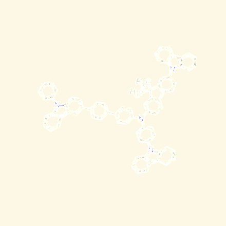 CC1(C)c2cc(N(c3ccc(-c4ccc(-c5ccc6c(c5)c5ccccc5n6-c5ccccc5)cc4)cc3)c3ccc(-n4c5ccccc5c5ccccc54)cc3)ccc2-c2ccc(-n3c4ccccc4c4ccccc43)cc21